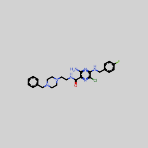 Nc1nc(NCc2ccc(F)cc2)c(Cl)nc1C(=O)NCCN1CCN(Cc2ccccc2)CC1